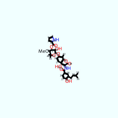 CO[C@@H]1[C@@H](OC(=O)c2ccc[nH]2)[C@@H](O)[C@H](Oc2ccc3c(O)c(NC(=O)c4ccc(O)c(CC=C(C)C)c4)c(=O)oc3c2C)OC1(C)C